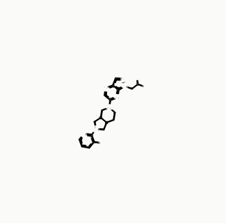 FC(F)Cn1ncc2ncc(N3CC[C@H]4CN(c5ncccc5C(F)(F)F)C[C@H]4C3)nc21